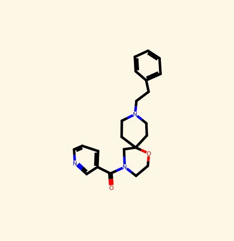 O=C(c1cccnc1)N1CCOC2(CCN(CCc3ccccc3)CC2)C1